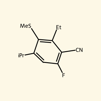 CCc1c(C#N)c(F)cc(C(C)C)c1SC